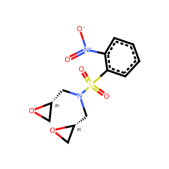 O=[N+]([O-])c1ccccc1S(=O)(=O)N(C[C@@H]1CO1)C[C@@H]1CO1